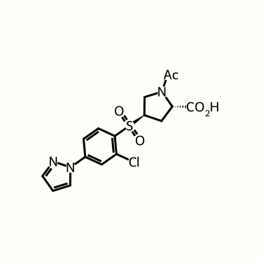 CC(=O)N1C[C@H](S(=O)(=O)c2ccc(-n3cccn3)cc2Cl)C[C@H]1C(=O)O